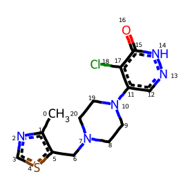 Cc1ncsc1CN1CCN(c2cn[nH]c(=O)c2Cl)CC1